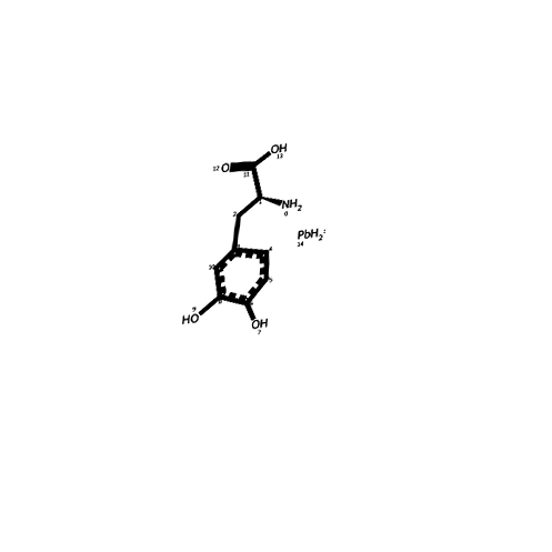 N[C@@H](Cc1ccc(O)c(O)c1)C(=O)O.[PbH2]